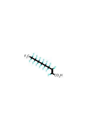 O=C(O)C(F)=C(F)C(F)(F)C(F)(F)C(F)(F)C(F)(F)C(F)(F)C(F)(F)C(F)(F)F